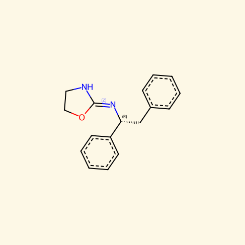 c1ccc(C[C@@H](/N=C2/NCCO2)c2ccccc2)cc1